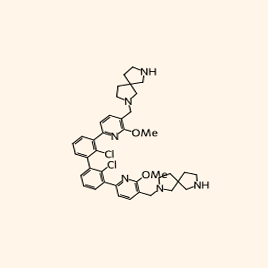 COc1nc(-c2cccc(-c3cccc(-c4ccc(CN5CCC6(CCNC6)C5)c(OC)n4)c3Cl)c2Cl)ccc1CN1CCC2(CCNC2)C1